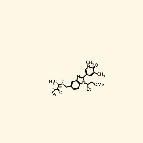 CCC(COC)n1c(-c2cc(C)c(=O)n(C)c2)nc2cc(CN[C@@H](C)C(=O)OC(C)C)ccc21